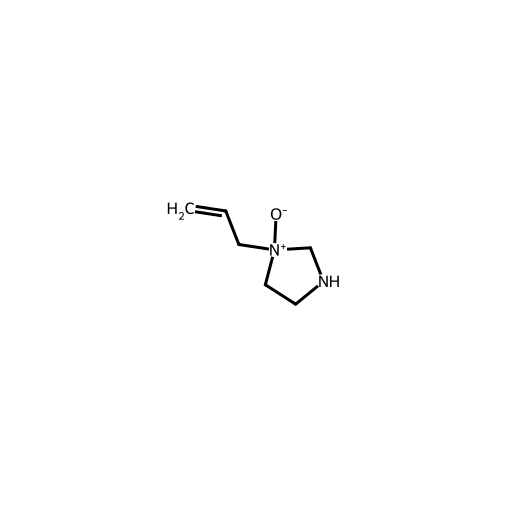 C=CC[N+]1([O-])CCNC1